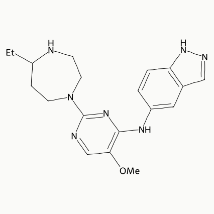 CCC1CCN(c2ncc(OC)c(Nc3ccc4[nH]ncc4c3)n2)CCN1